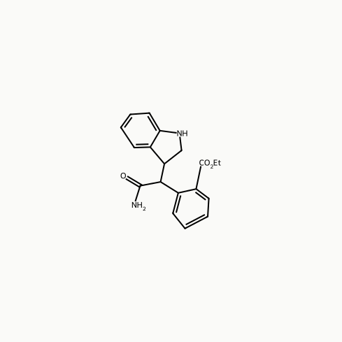 CCOC(=O)c1ccccc1C(C(N)=O)C1CNc2ccccc21